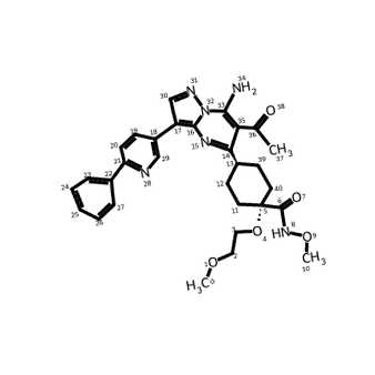 COCCO[C@]1(C(=O)NOC)CC[C@@H](c2nc3c(-c4ccc(-c5ccccc5)nc4)cnn3c(N)c2C(C)=O)CC1